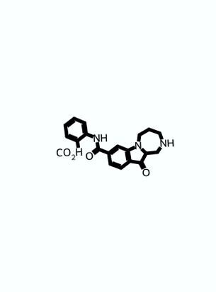 O=C(Nc1ccccc1C(=O)O)c1ccc2c(c1)N1CCCNCC1C2=O